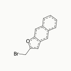 BrCc1cc2cc3ccccc3cc2o1